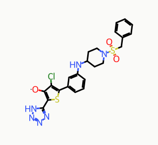 [O]c1c(-c2nnn[nH]2)sc(-c2cccc(NC3CCN(S(=O)(=O)Cc4ccccc4)CC3)c2)c1Cl